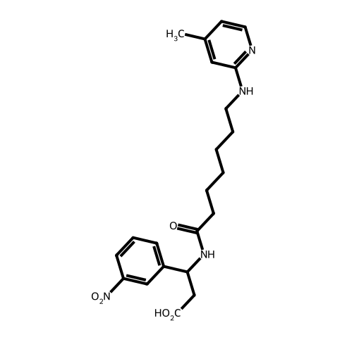 Cc1ccnc(NCCCCCCC(=O)NC(CC(=O)O)c2cccc([N+](=O)[O-])c2)c1